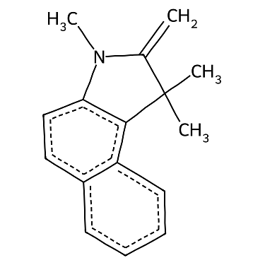 C=C1N(C)c2ccc3ccccc3c2C1(C)C